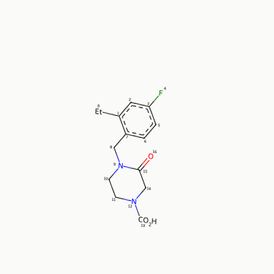 CCc1cc(F)ccc1CN1CCN(C(=O)O)CC1=O